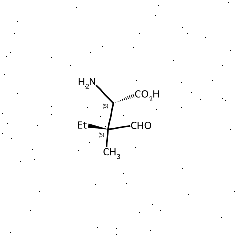 CC[C@](C)(C=O)[C@H](N)C(=O)O